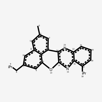 Cc1cc2c3c(cc(CC(C)C)cc3c1)Oc1nc3c(C(C)C)cccc3nc1-2